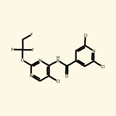 O=C(Nc1nc(OC(F)(F)CF)ncc1Cl)c1cc(Cl)nc(Cl)c1